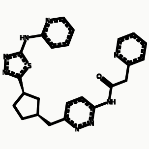 O=C(Cc1ccccn1)Nc1ccc(C[C@H]2CC[C@@H](c3nnc(Nc4ccccn4)s3)C2)nn1